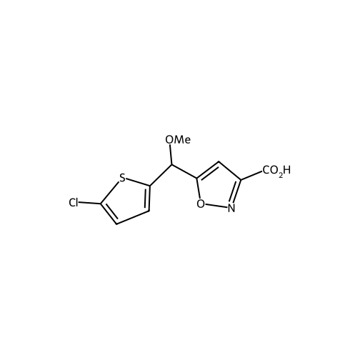 COC(c1cc(C(=O)O)no1)c1ccc(Cl)s1